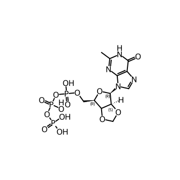 Cc1nc2c(ncn2[C@@H]2O[C@H](COP(=O)(O)OP(=O)(O)OP(=O)(O)O)C3OCO[C@@H]32)c(=O)[nH]1